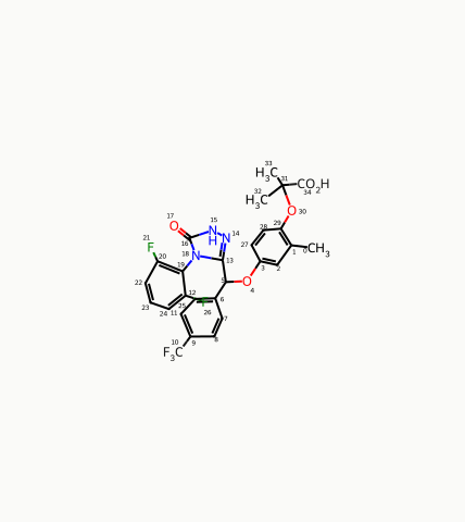 Cc1cc(OC(c2ccc(C(F)(F)F)cc2)c2n[nH]c(=O)n2-c2c(F)cccc2F)ccc1OC(C)(C)C(=O)O